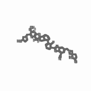 COc1nc(O[C@@H]2CCc3c(-c4cccc(-c5nc6cc(CN7CC8(CCC(=O)N8)C7)cc(C#N)c6o5)c4F)cccc32)c(C(F)(F)F)nc1CN1CC[C@@H](O)C1